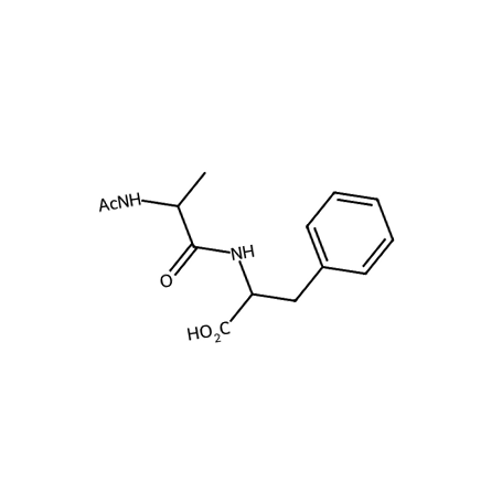 CC(=O)NC(C)C(=O)NC(Cc1ccccc1)C(=O)O